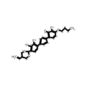 C=CC1COC(c2ccc(-c3ccc(-c4ccc(OCCCC)c(F)c4F)cc3)c(F)c2F)OC1